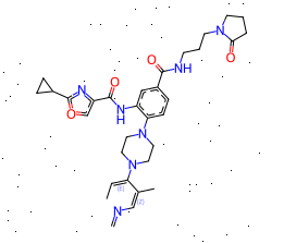 C=N/C=C(C)\C(=C/C)N1CCN(c2ccc(C(=O)NCCCN3CCCC3=O)cc2NC(=O)c2coc(C3CC3)n2)CC1